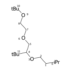 CC(C)CCOC(COCCOC(C)(C)C)C(C)(C)C